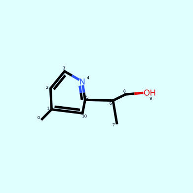 Cc1ccnc(C(C)CO)c1